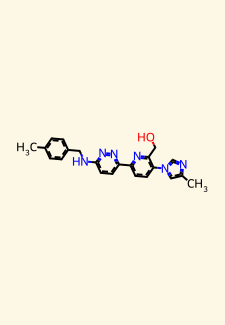 Cc1ccc(CNc2ccc(-c3ccc(-n4cnc(C)c4)c(CO)n3)nn2)cc1